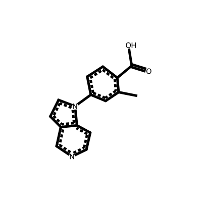 Cc1cc(-n2ccc3cnccc32)ccc1C(=O)O